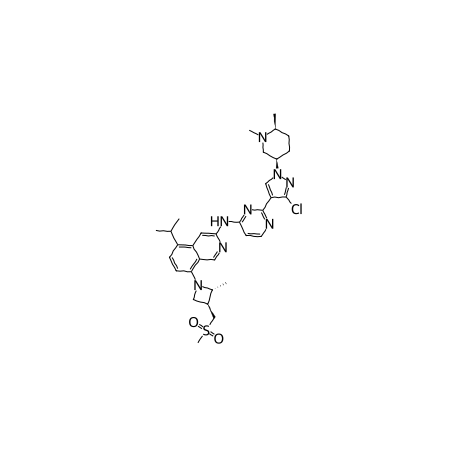 CC(C)c1ccc(N2C[C@H](CS(C)(=O)=O)[C@H]2C)c2cnc(Nc3ccnc(-c4cn([C@@H]5CC[C@H](C)N(C)C5)nc4Cl)n3)cc12